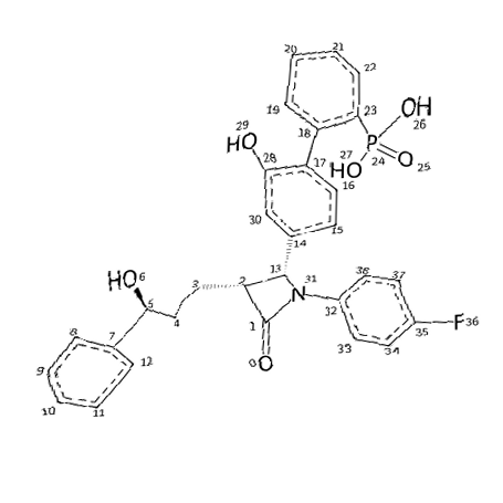 O=C1[C@H](CC[C@H](O)c2ccccc2)[C@H](c2ccc(-c3ccccc3P(=O)(O)O)c(O)c2)N1c1ccc(F)cc1